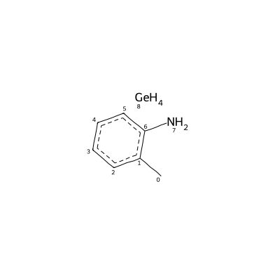 Cc1ccccc1N.[GeH4]